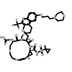 CC1(S(=O)(=O)NC(=O)[C@@]23C[C@H]2/C=C\CCCCC[C@H](NC(=O)O)C(=O)N2C[C@@]4(CCc5c(c(C(F)(F)F)nc6ccc(OCCCN7CCOCC7)cc56)O4)C[C@H]2C(=O)N3)CC1